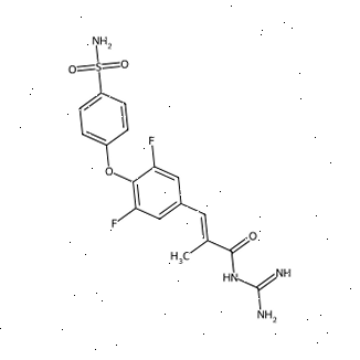 C/C(=C\c1cc(F)c(Oc2ccc(S(N)(=O)=O)cc2)c(F)c1)C(=O)NC(=N)N